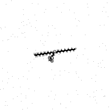 CCCCCCCCCCCCO[C@H](CCCCCCCCCCC)CCOS(C)(=O)=O